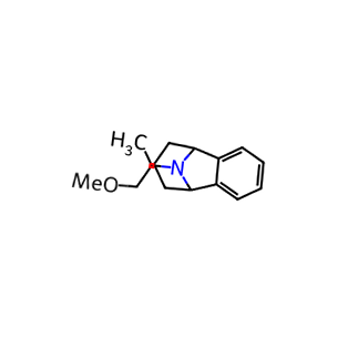 COCC(C)N1C2CCCC1c1ccccc12